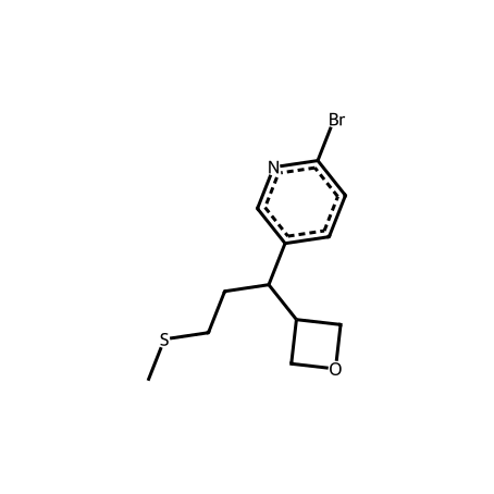 CSCCC(c1ccc(Br)nc1)C1COC1